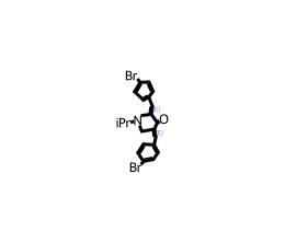 CC(C)N1C/C(=C\c2ccc(Br)cc2)C(=O)/C(=C/c2ccc(Br)cc2)C1